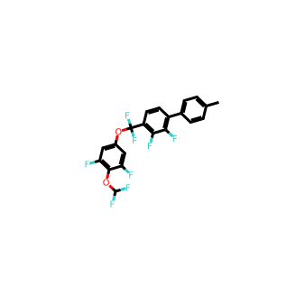 Cc1ccc(-c2ccc(C(F)(F)Oc3cc(F)c(OC(F)F)c(F)c3)c(F)c2F)cc1